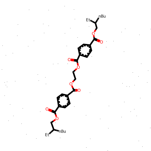 CCCCC(CC)COC(=O)c1ccc(C(=O)OCCOC(=O)c2ccc(C(=O)OCC(CC)CCCC)cc2)cc1